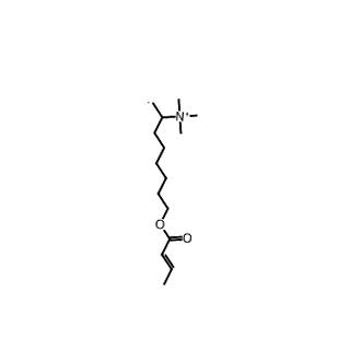 [CH2]C(CCCCCCOC(=O)C=CC)[N+](C)(C)C